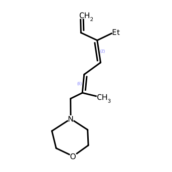 C=C/C(=C\C=C(/C)CN1CCOCC1)CC